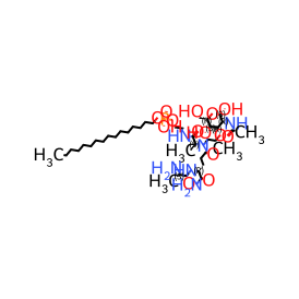 CCCCCCCCCCCCCCCCOP(=O)(O)OCCNC(=O)[C@H](C)N(CC(C)O[C@H]1[C@H](O)[C@@H](CO)O[C@H](O)[C@@H]1NC(C)=O)C(=O)CC[C@@H](NC(=O)[C@H](C)N)C(N)=O